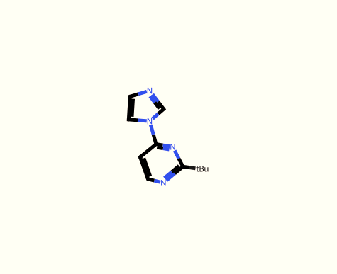 CC(C)(C)c1nccc(-n2ccnc2)n1